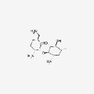 C[C@@H]1C[C@H](N)[C@@H](O[C@H]2O[C@H](CN)CC[C@H]2N)[C@H](O)[C@H]1O